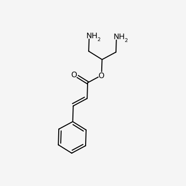 NCC(CN)OC(=O)/C=C/c1ccccc1